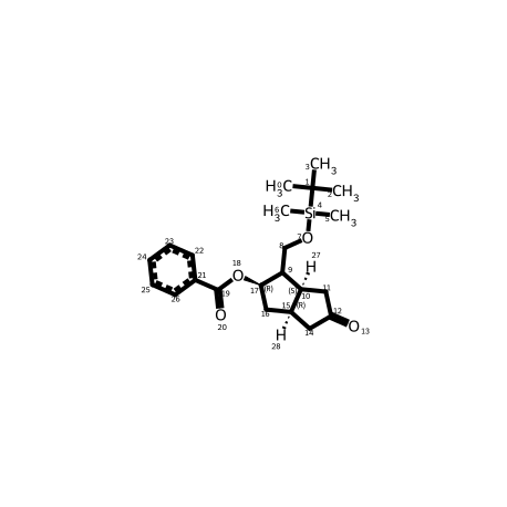 CC(C)(C)[Si](C)(C)OCC1[C@H]2CC(=O)C[C@H]2C[C@H]1OC(=O)c1ccccc1